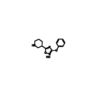 Cl.c1ccc(Oc2noc(C3CCCNC3)n2)cc1